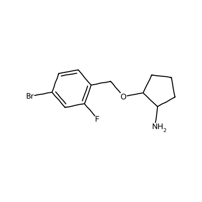 NC1CCCC1OCc1ccc(Br)cc1F